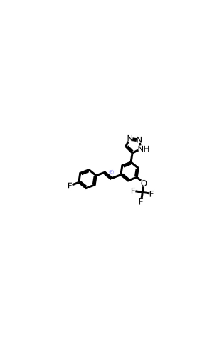 Fc1ccc(/C=C/c2cc(OC(F)(F)F)cc(-c3cnn[nH]3)c2)cc1